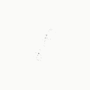 Cc1ncsc1-c1ccc([C@H](C)NC(=O)C2C[C@@H](O)CN2C(=O)C(NC(=O)CN2CCN(CCCCc3ccc(C(=O)N[C@H]4C(C)(C)[C@H](Oc5ccc(C#N)c(Cl)c5)C4(C)C)cc3)CC2)C(C)(C)C)cc1